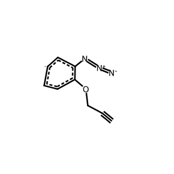 C#CCOc1cc[c]cc1N=[N+]=[N-]